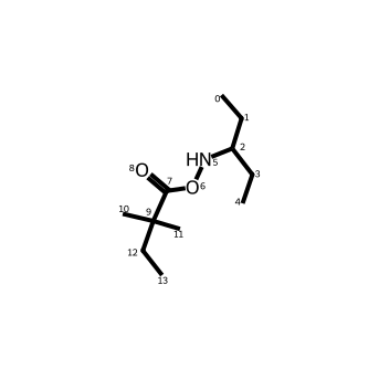 CCC(CC)NOC(=O)C(C)(C)CC